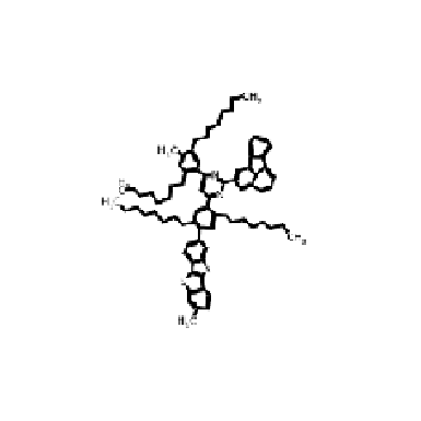 CCCCCCCCc1cc(-c2cc(-c3cc(CCCCCCCC)c(-c4ccc5c(c4)sc4c6ccc(C)cc6sc54)cc3CCCCCCCC)nc(C3=CC4c5ccccc5C5=CC=CC(=C3)C54)n2)c(CCCCCCCC)cc1C